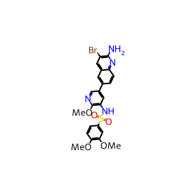 COc1ccc(S(=O)(=O)Nc2cc(-c3ccc4nc(N)c(Br)cc4c3)cnc2OC)cc1OC